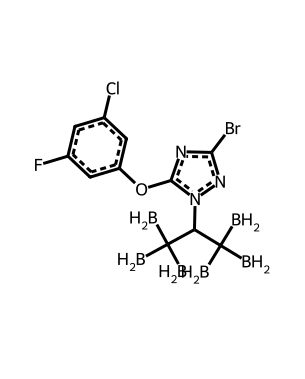 BC(B)(B)C(n1nc(Br)nc1Oc1cc(F)cc(Cl)c1)C(B)(B)B